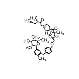 C#CCN(C)C(=O)CN1CCN(C(=O)C(C)(C)NC(=O)COCc2ccc(Cc3cc([C@@H]4O[C@H](SC)[C@@H](O)[C@H](O)[C@H]4O)ccc3C)cc2)CC1